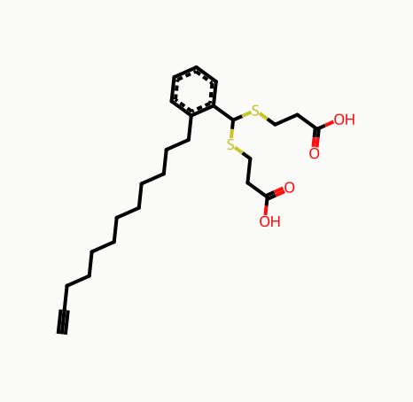 C#CCCCCCCCCCCc1ccccc1C(SCCC(=O)O)SCCC(=O)O